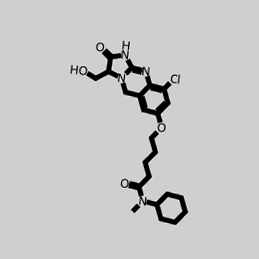 CN(C(=O)CCCCOc1cc(Cl)c2c(c1)CN1C(=N2)NC(=O)C1CO)C1CCCCC1